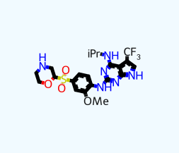 COc1cc(S(=O)(=O)C2CNCCO2)ccc1Nc1nc(NC(C)C)c2c(C(F)(F)F)c[nH]c2n1